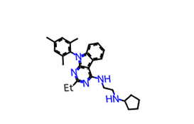 CCc1nc(NCCNC2CCCC2)c2c3ccccc3n(-c3c(C)cc(C)cc3C)c2n1